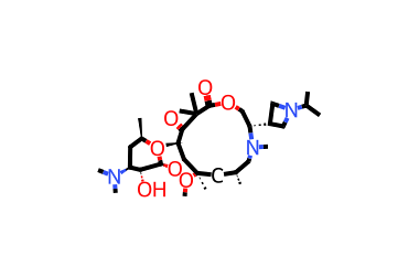 CO[C@]1(C)C[C@@H](C)CN(C)[C@@H](C2CN(C(C)C)C2)COC(=O)C(C)(C)C(=O)[C@H](C)[C@H]1O[C@@H]1O[C@H](C)C[C@H](N(C)C)[C@H]1O